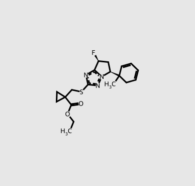 CCOC(=O)C1(CSc2nc3n(n2)[C@H](C2(C)C=CC=CC2)C[C@@H]3F)CC1